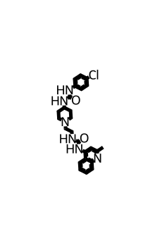 Cc1cc(NC(=O)NCCN2CCC(NC(=O)Nc3ccc(Cl)cc3)CC2)c2ccccc2n1